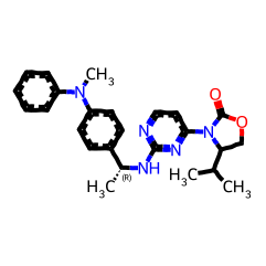 CC(C)C1COC(=O)N1c1ccnc(N[C@H](C)c2ccc(N(C)c3ccccc3)cc2)n1